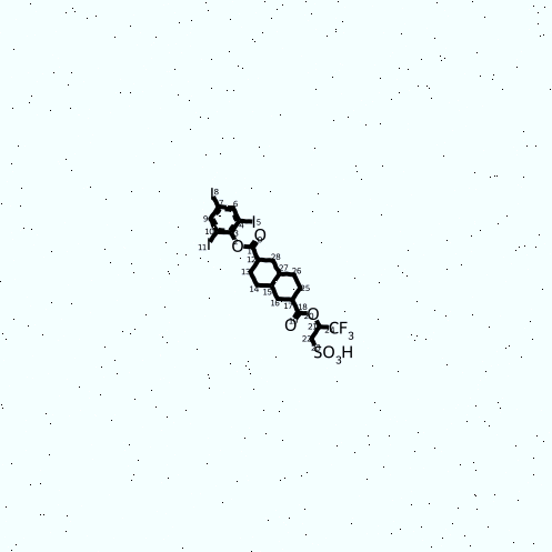 O=C(Oc1c(I)cc(I)cc1I)C1CCC2CC(C(=O)OC(CS(=O)(=O)O)C(F)(F)F)CCC2C1